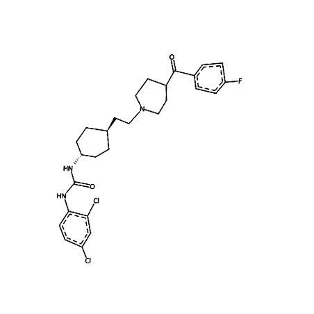 O=C(Nc1ccc(Cl)cc1Cl)N[C@H]1CC[C@H](CCN2CCC(C(=O)c3ccc(F)cc3)CC2)CC1